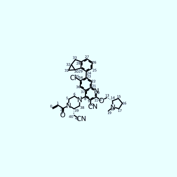 C=CC(=O)N1CCN(c2c(C#N)c(OC[C@@H]3CCCN3C)nc3cc(-c4cccc5c4C4CC4C5)c(Cl)cc23)C[C@@H]1CC#N